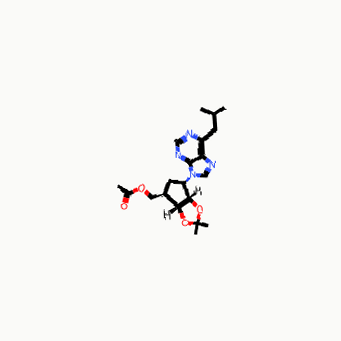 CC(=O)OC[C@H]1C[C@@H](n2cnc3c(CC(C)C)ncnc32)[C@@H]2OC(C)(C)O[C@H]12